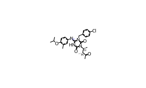 CC(=O)[C@H](C)[C@H](C)n1c(=O)[nH]/c(=N\c2ccc(OC(C)C)c(C)c2)n(Cc2ccc(Cl)cc2)c1=O